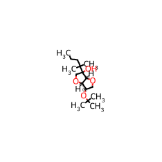 CCCC(C)(C)C1(O)CO[C@@H]2[C@H](OC(C)(C)C)CO[C@@H]21